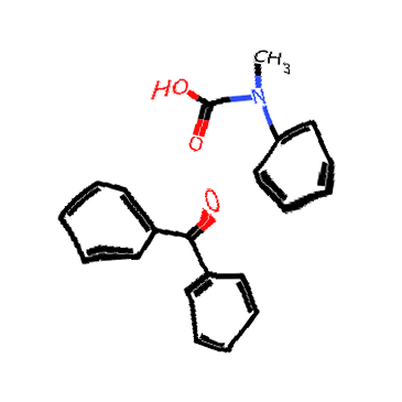 CN(C(=O)O)c1ccccc1.O=C(c1ccccc1)c1ccccc1